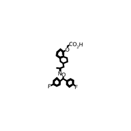 C/C(CC1CCc2c(cccc2OCC(=O)O)C1)=N/OC(c1ccc(F)cc1)c1ccc(F)cc1